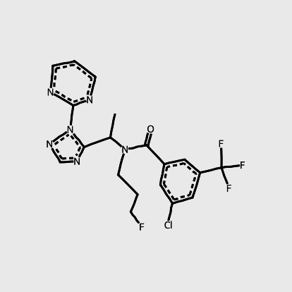 CC(c1ncnn1-c1ncccn1)N(CCCF)C(=O)c1cc(Cl)cc(C(F)(F)F)c1